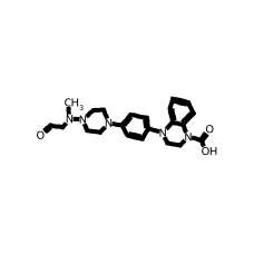 CN(CC=O)N1CCN(c2ccc(N3CCN(C(=O)O)c4ccccc43)cc2)CC1